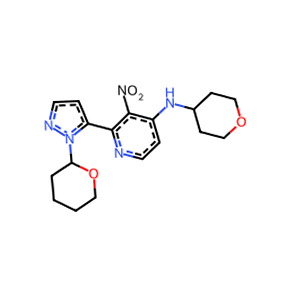 O=[N+]([O-])c1c(NC2CCOCC2)ccnc1-c1ccnn1C1CCCCO1